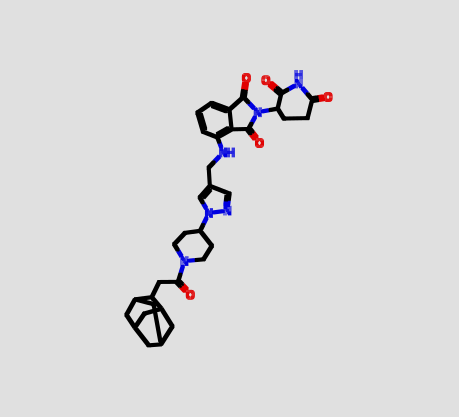 O=C1CCC(N2C(=O)c3cccc(NCc4cnn(C5CCN(C(=O)CC6C7CC8CC(C7)CC6C8)CC5)c4)c3C2=O)C(=O)N1